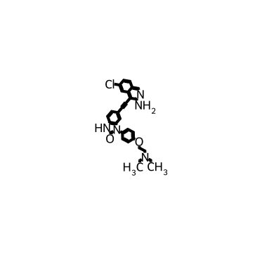 CCN(CC)CCOc1ccc(-n2c(=O)[nH]c3ccc(C#Cc4c(N)ncc5ccc(Cl)cc45)cc32)cc1